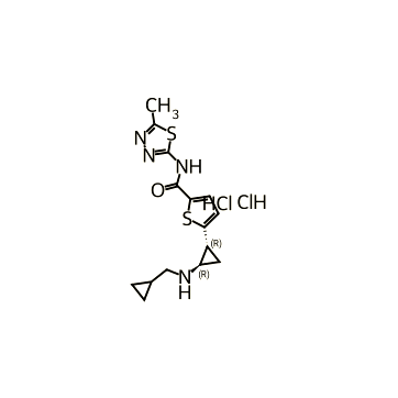 Cc1nnc(NC(=O)c2ccc([C@@H]3C[C@H]3NCC3CC3)s2)s1.Cl.Cl